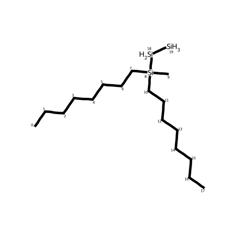 CCCCCCCC[Si](C)(CCCCCCCC)[SiH2][SiH3]